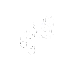 C=C(O/C(C)=N/C)/C1=C(\C)CCC2C(C(=C)N(C)\C1=C/C)c1ccccc1-c1cccc[n+]12